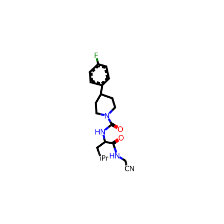 CC(C)CC(NC(=O)N1CCC(c2ccc(F)cc2)CC1)C(=O)NCC#N